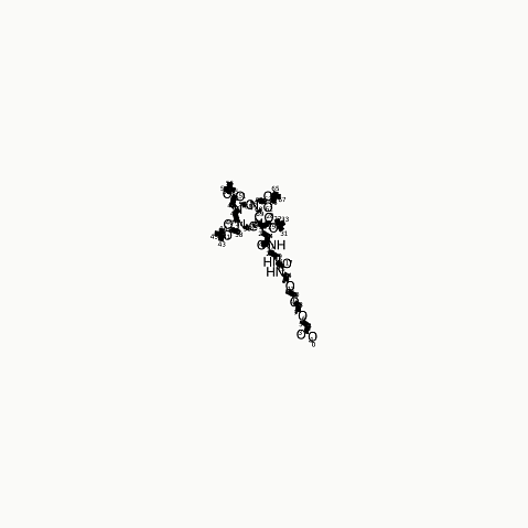 COC(=O)CCOCCOCCOCCNC(=O)NCCNC(=O)CC[C@H](C(=O)OC(C)(C)C)N1CCN(CC(=O)OC(C)(C)C)CCN(CC(=O)OC(C)(C)C)CCN(CC(=O)OC(C)(C)C)CC1